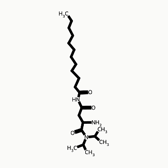 CCCCCCCCCCCC(=O)NC(=O)CC(N)C(=O)N(C(C)C)C(C)C